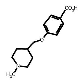 CN1CCC(COc2ccc(C(=O)O)cc2)CC1